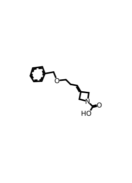 O=C(O)N1CC(=CCCOCc2ccccc2)C1